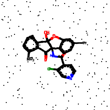 CC(C)c1ccc2c(c1)OC1(O)c3cccc([N+](=O)[O-])c3C(=O)C21NC(=O)c1ccncc1Cl